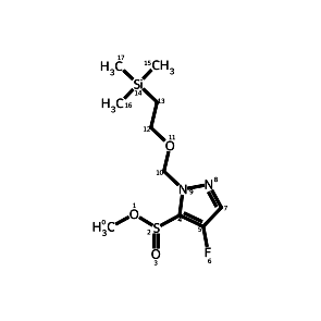 COS(=O)c1c(F)cnn1COCC[Si](C)(C)C